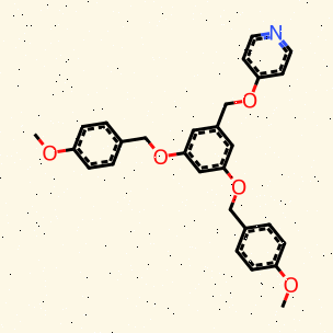 COc1ccc(COc2cc(COc3ccncc3)cc(OCc3ccc(OC)cc3)c2)cc1